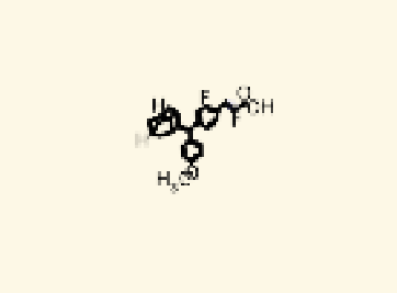 COc1ccc(C(=C2C3C[C@H]4CC2C[C@H](C3)C4)c2ccc(/C=C(\F)C(=O)O)c(F)c2)cc1